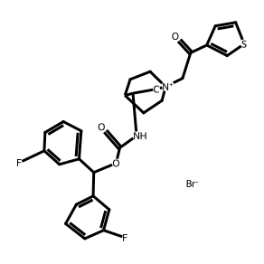 O=C(NC1C[N+]2(CC(=O)c3ccsc3)CCC1CC2)OC(c1cccc(F)c1)c1cccc(F)c1.[Br-]